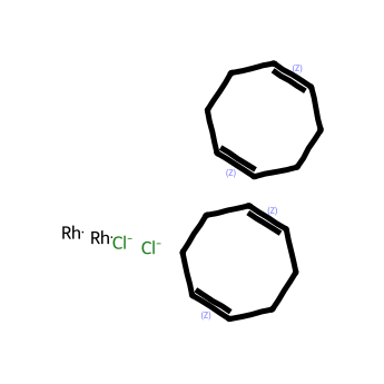 C1=C\CC/C=C\CC/1.C1=C\CC/C=C\CC/1.[Cl-].[Cl-].[Rh].[Rh]